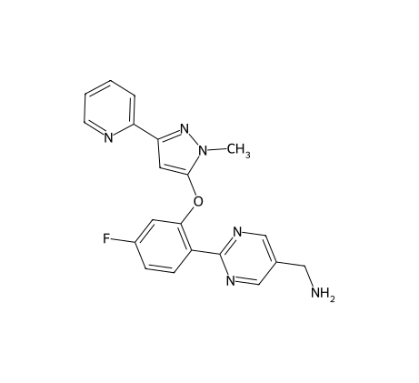 Cn1nc(-c2ccccn2)cc1Oc1cc(F)ccc1-c1ncc(CN)cn1